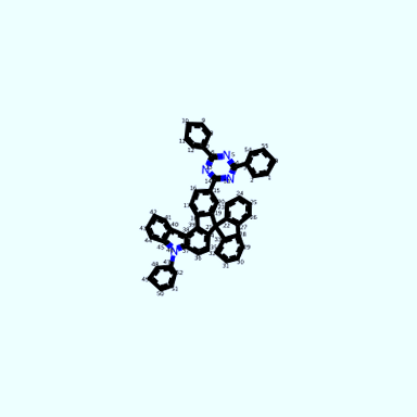 c1ccc(-c2nc(-c3ccccc3)nc(-c3ccc4c(c3)C3(c5ccccc5-c5ccccc53)c3ccc5c(c3-4)c3ccccc3n5-c3ccccc3)n2)cc1